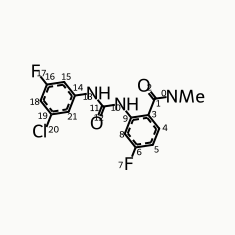 CNC(=O)c1ccc(F)cc1NC(=O)Nc1cc(F)cc(Cl)c1